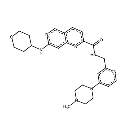 CN1CCN(c2ccnc(CNC(=O)c3ccc4cnc(NC5CCOCC5)cc4n3)c2)CC1